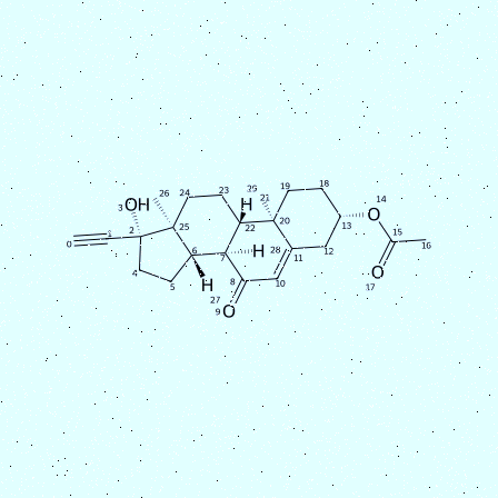 C#C[C@]1(O)CC[C@H]2[C@@H]3C(=O)C=C4C[C@@H](OC(C)=O)CC[C@]4(C)[C@H]3CC[C@@]21C